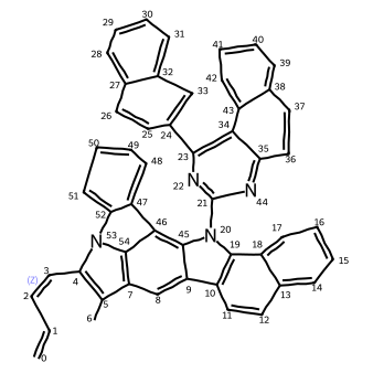 C=C/C=C\c1c(C)c2cc3c4ccc5ccccc5c4n(-c4nc(-c5ccc6ccccc6c5)c5c(ccc6ccccc65)n4)c3c3c4ccccc4n1c23